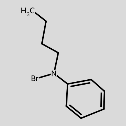 CCCCN(Br)c1ccccc1